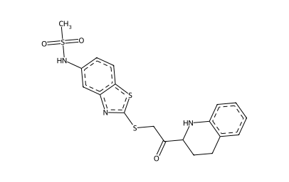 CS(=O)(=O)Nc1ccc2sc(SCC(=O)C3CCc4ccccc4N3)nc2c1